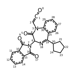 O=C=CN1C(=O)C(N2C(=O)c3ccccc3C2=O)N=C(C2CCCC2)c2ccccc21